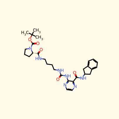 CC(C)(C)OC(=O)N1CCC[C@H]1C(=O)NCCCCNC(=O)Nc1nccnc1C(=O)NC1Cc2ccccc2C1